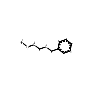 [2H]OOCOCc1ccccc1